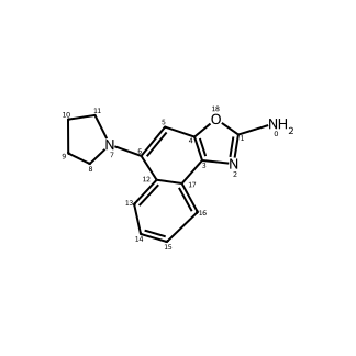 Nc1nc2c(cc(N3CCCC3)c3ccccc32)o1